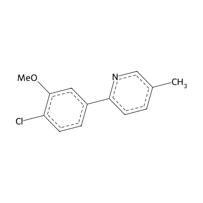 COc1cc(-c2ccc(C)cn2)ccc1Cl